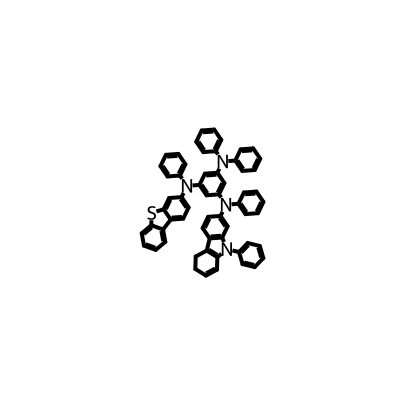 C1=Cc2c(c3ccc(N(c4ccccc4)c4cc(N(c5ccccc5)c5ccccc5)cc(N(c5ccccc5)c5ccc6c(c5)sc5ccccc56)c4)cc3n2-c2ccccc2)CC1